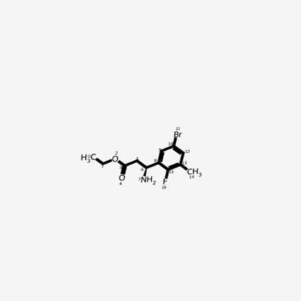 CCOC(=O)C[C@H](N)c1cc(Br)cc(C)c1F